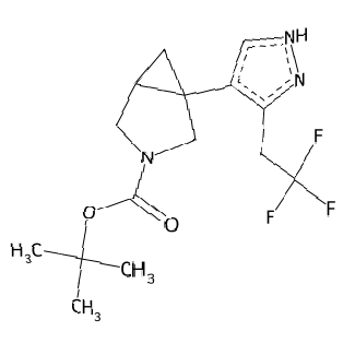 CC(C)(C)OC(=O)N1CC2CC2(c2c[nH]nc2CC(F)(F)F)C1